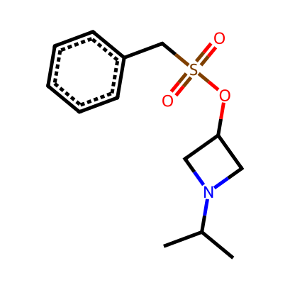 CC(C)N1CC(OS(=O)(=O)Cc2ccccc2)C1